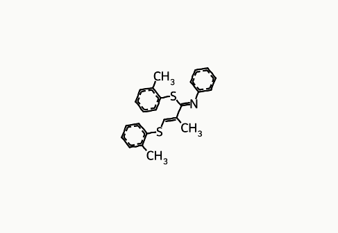 CC(=C\Sc1ccccc1C)/C(=N/c1ccccc1)Sc1ccccc1C